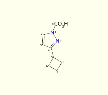 O=C(O)n1ccc(C2CCC2)n1